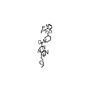 CCOCCn1cnc2nc(C(=O)N3CCCC(COc4cccnc4C(F)(F)F)C3)cnc21